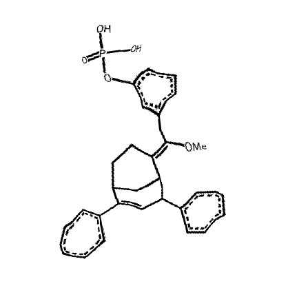 COC(=C1CCC2CC1C(c1ccccc1)C=C2c1ccccc1)c1cccc(OP(=O)(O)O)c1